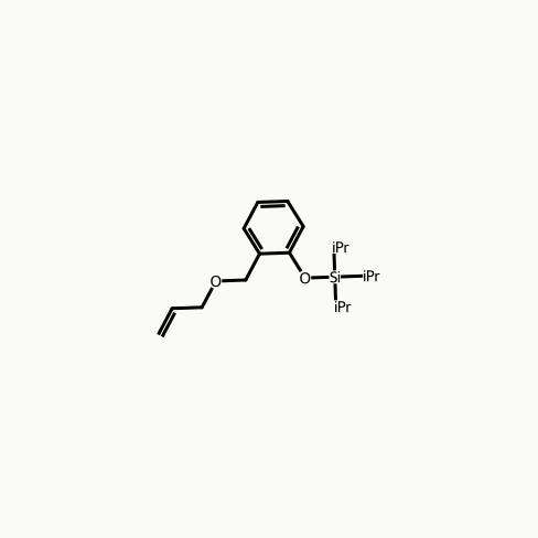 C=CCOCc1ccccc1O[Si](C(C)C)(C(C)C)C(C)C